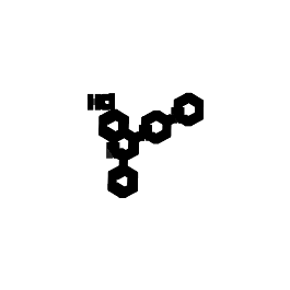 Cl.c1ccc(-c2cc(N3CCC(N4CCCCC4)CC3)c3ccccc3n2)cc1